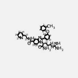 Cc1ccccc1Oc1cccc(-c2nc3cc(C(=O)NCCc4ccccn4)ccc3n2[C@@H](CCCNC(=N)N)C(N)=O)c1